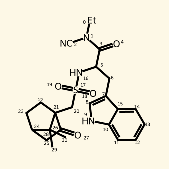 CCN(C#N)C(=O)C(Cc1c[nH]c2ccccc12)NS(=O)(=O)CC12CCC(CC1=O)C2(C)C